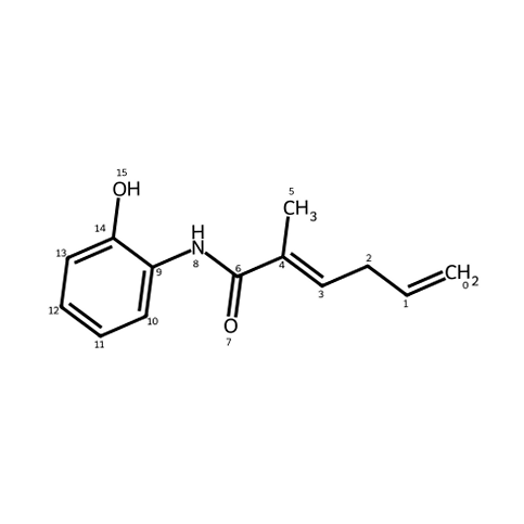 C=CC/C=C(\C)C(=O)Nc1ccccc1O